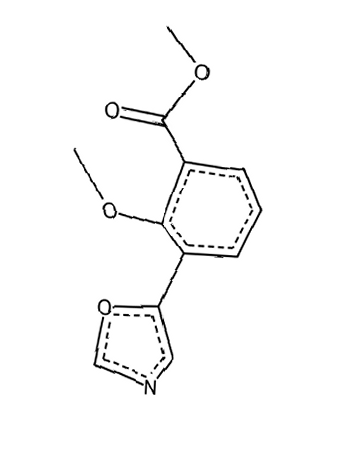 COC(=O)c1cccc(-c2cnco2)c1OC